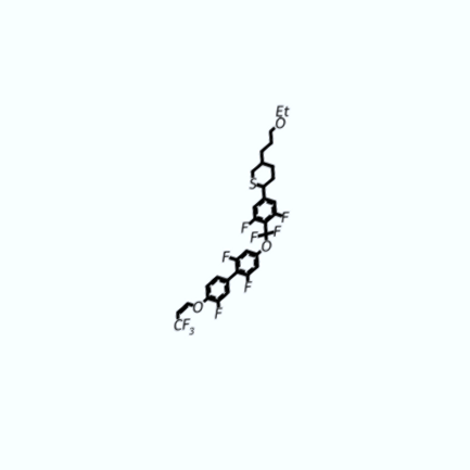 CCOCCCC1CCC(c2cc(F)c(C(F)(F)Oc3cc(F)c(-c4ccc(O/C=C\C(F)(F)F)c(F)c4)c(F)c3)c(F)c2)SC1